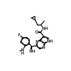 CNc1cc(F)ccc1C(=N)c1cnc2[nH]cc(C(=O)NC(C)CC3CC3)c2n1